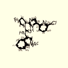 CC(=O)n1cc(NC(=O)N2C[C@H](F)C[C@H]2c2ncc(-c3cccc(Cl)n3)[nH]2)c2ccccc21